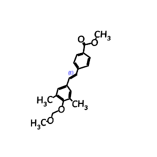 COCOc1c(C)cc(/C=C/c2ccc(C(=O)OC)cc2)cc1C